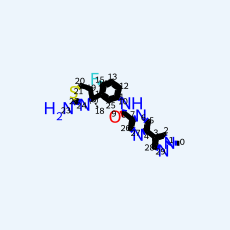 Cn1cc(-c2cnc(C(=O)Nc3ccc(F)c([C@]4(C)CCSC(N)=N4)c3)cn2)cn1